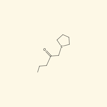 CCCC(=O)C[S+]1CCCC1